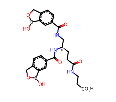 O=C(O)CCNC(=O)CC[C@H](CNC(=O)c1ccc2c(c1)B(O)OC2)NC(=O)c1ccc2c(c1)B(O)OC2